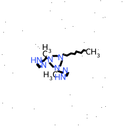 CCCCCCCCN1CCN(C(C)c2ncc[nH]2)CCN(C(C)c2ncc[nH]2)CC1